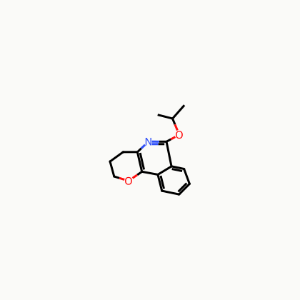 CC(C)Oc1nc2c(c3ccccc13)OCCC2